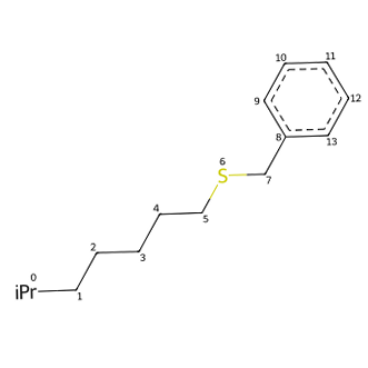 CC(C)CCCCCSCc1ccccc1